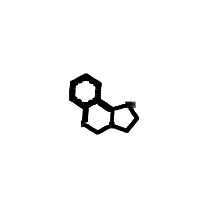 c1ccc2c(c1)=NCN1CCNC=21